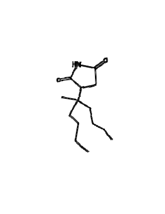 CCCCC(C)(CCCC)C1CC(=O)NC1=O